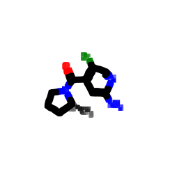 Nc1cc(C(=O)N2CCC[C@H]2C(F)(F)F)c(Br)cn1